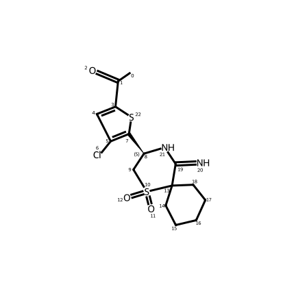 CC(=O)c1cc(Cl)c([C@@H]2CS(=O)(=O)C3(CCCCC3)C(=N)N2)s1